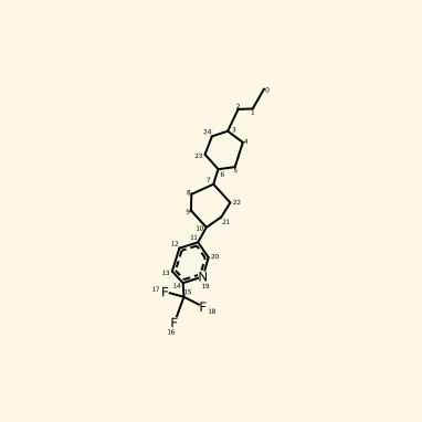 CCCC1CCC(C2CCC(c3ccc(C(F)(F)F)nc3)CC2)CC1